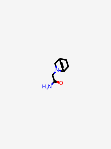 NC(=O)CN1CC2C=CC1CC2